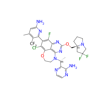 Cc1cc(N)nc(-c2c(Cl)c3c4c(nc(OC[C@@]56CCCN5CC(F)(F)C6)nc4c2F)N([C@H](C)c2nccnc2N)CCO3)c1C(F)(F)F